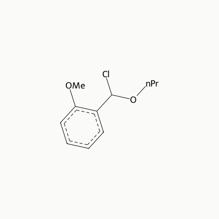 CCCOC(Cl)c1ccccc1OC